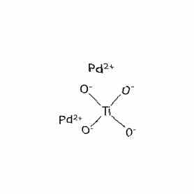 [O-][Ti]([O-])([O-])[O-].[Pd+2].[Pd+2]